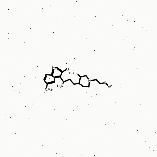 CCCSCCN1CCC(CC[C@@H](N)c2c(Cl)cnc3ccc(OC)cc23)C(C(=O)O)C1